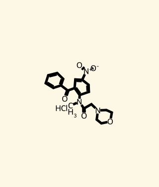 CN(C(=O)CN1CCOCC1)c1ccc([N+](=O)[O-])cc1C(=O)c1ccccc1.Cl